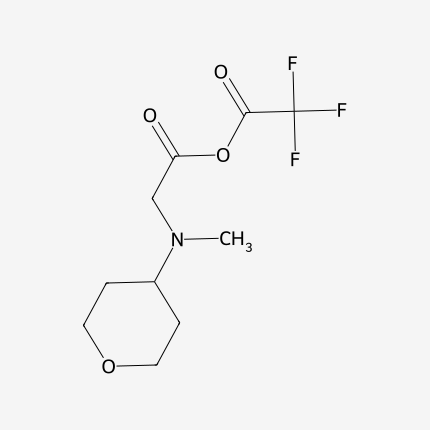 CN(CC(=O)OC(=O)C(F)(F)F)C1CCOCC1